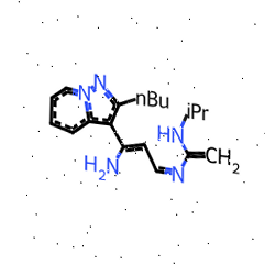 C=C(/N=C\C=C(/N)c1c(CCCC)nn2ccccc12)NC(C)C